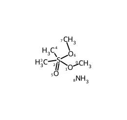 COS(C)(C)(=O)OC.N